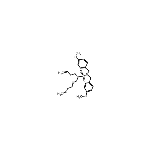 C=CCC[C@H](COCCOC)S(=O)(=O)N(Cc1ccc(OC)cc1)Cc1ccc(OC)cc1